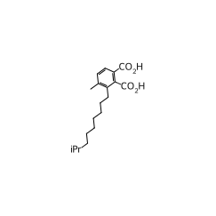 Cc1ccc(C(=O)O)c(C(=O)O)c1CCCCCCCC(C)C